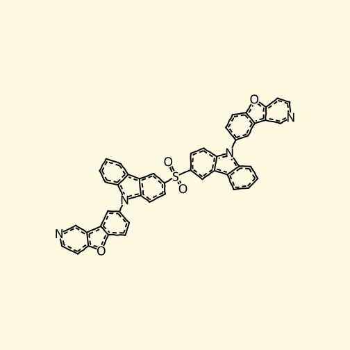 O=S(=O)(c1ccc2c(c1)c1ccccc1n2-c1ccc2oc3ccncc3c2c1)c1ccc2c(c1)c1ccccc1n2-c1ccc2oc3ccncc3c2c1